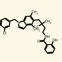 Cc1cc2c(ccn2Cc2cccc(Cl)c2)c(C)c1CC(C)(C)CCNC(=O)c1ccccc1O